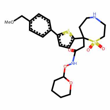 COCc1ccc(-c2ccc(C3(CC(=O)NOC4CCCCO4)CCNCCS3(=O)=O)s2)cc1